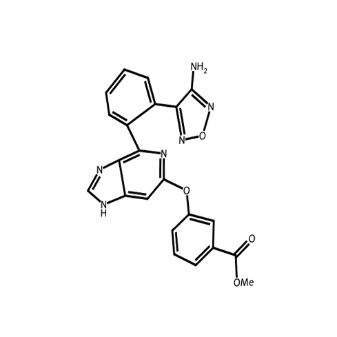 COC(=O)c1cccc(Oc2cc3[nH]cnc3c(-c3ccccc3-c3nonc3N)n2)c1